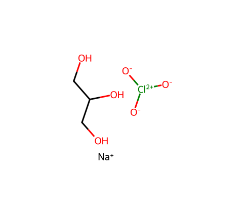 OCC(O)CO.[Na+].[O-][Cl+2]([O-])[O-]